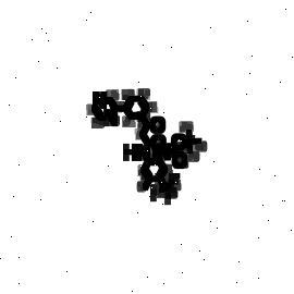 Cc1cc(NC(=O)CC(=O)c2cccc(-c3cnccn3)c2)c(NC(=O)OC(C)(C)C)cc1C(F)(F)F